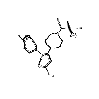 CC(O)(C(=O)N1CCC(c2cc(C(F)(F)F)nn2-c2ccc(F)cc2)CC1)C(F)(F)F